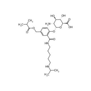 CC(C)NCCCCCNC(=O)c1cc(COC(=O)C(C)C)ccc1O[C@H]1O[C@H](C(=O)O)[C@@H](O)[C@H](O)[C@H]1N